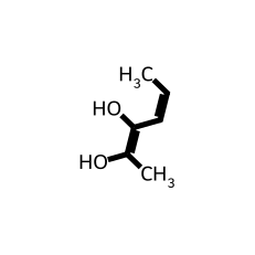 C/C=C\C(O)=C(/C)O